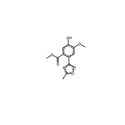 COC(=O)c1cc(O)c(OC)cc1-c1noc(C)n1